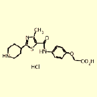 Cc1nc(C2CCNCC2)sc1C(=O)Nc1ccc(OCC(=O)O)cc1.Cl